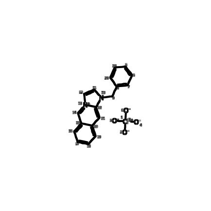 [O-][Cl+3]([O-])([O-])[O-].c1ccc(Cn2cc[n+]3cc4ccccc4cc23)cc1